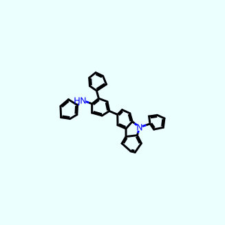 c1ccc(Nc2ccc(-c3ccc4c(c3)c3ccccc3n4-c3ccccc3)cc2-c2ccccc2)cc1